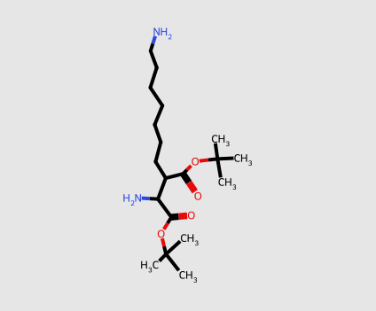 CC(C)(C)OC(=O)C(N)C(CCCCCCCN)C(=O)OC(C)(C)C